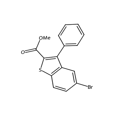 COC(=O)c1sc2ccc(Br)cc2c1-c1ccccc1